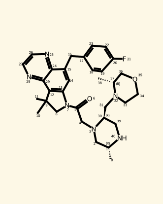 C[C@@H]1CN(CC(=O)N2CC(C)(C)c3c2cc(Cc2ccc(F)cc2)c2nccnc32)[C@@H](CN2CCOC[C@H]2C)CN1